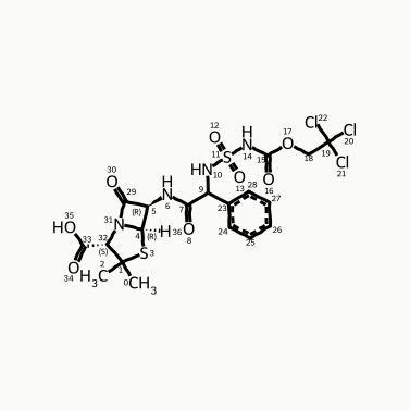 CC1(C)S[C@@H]2[C@H](NC(=O)C(NS(=O)(=O)NC(=O)OCC(Cl)(Cl)Cl)c3ccccc3)C(=O)N2[C@H]1C(=O)O